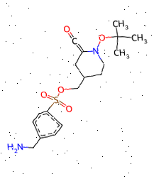 CC(C)(C)ON1CCC(COS(=O)(=O)c2ccc(CN)cc2)CC1=C=O